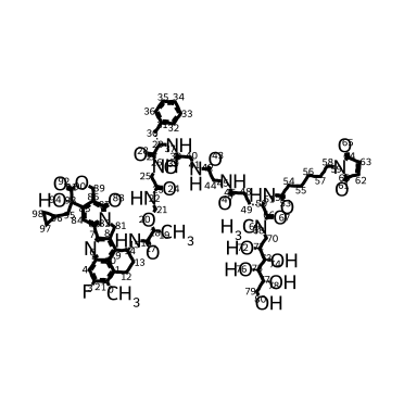 Cc1c(F)cc2nc3c(c4c2c1CC[C@@H]4NC(=O)[C@H](C)OCNC(=O)CNC(=O)[C@H](Cc1ccccc1)NC(=O)CNC(=O)CNC(=O)CC[C@H](NC(=O)CCCCCN1C(=O)C=CC1=O)C(=O)N(C)C[C@H](O)[C@@H](O)[C@H](O)[C@H](O)CO)Cn1c-3cc2c(c1=O)COC(=O)[C@]2(O)CC1CC1